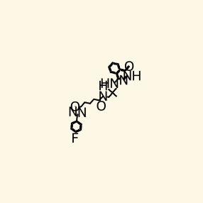 CC(C)(CNC(=O)CCCc1nc(-c2ccc(F)cc2)no1)CNc1n[nH]c(=O)c2ccccc12